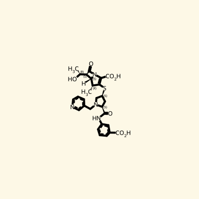 C[C@@H](O)[C@H]1C(=O)N2C(C(=O)O)=C(S[C@H]3C[C@@H](C(=O)Nc4cccc(C(=O)O)c4)N(Cc4cccnc4)C3)[C@H](C)[C@H]12